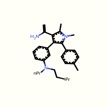 C=C(N)c1c(-c2cccc(N(CCC)CCC(C)C)c2)c(-c2ccc(C)cc2)n(C)c1C